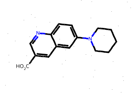 O=C(O)c1cnc2ccc(N3CCCCC3)cc2c1